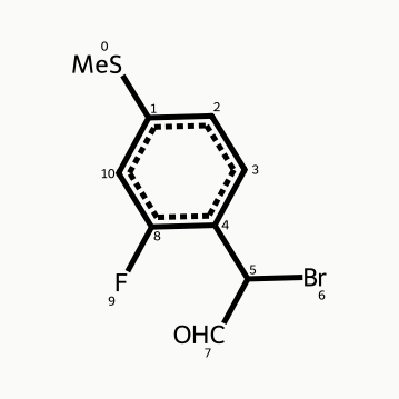 CSc1ccc(C(Br)C=O)c(F)c1